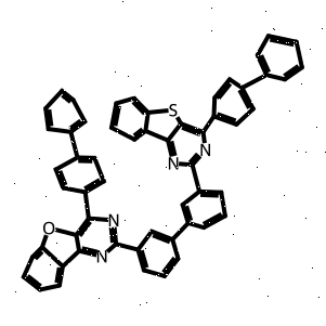 c1ccc(-c2ccc(-c3nc(-c4cccc(-c5cccc(-c6nc(-c7ccc(-c8ccccc8)cc7)c7sc8ccccc8c7n6)c5)c4)nc4c3oc3ccccc34)cc2)cc1